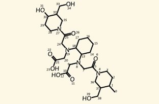 CC1CCN(C(=O)CN(CC(=O)O)C2CCCCC2N(CC(=O)O)CC(=O)N2CCC(O)C(CO)C2)CC1CO